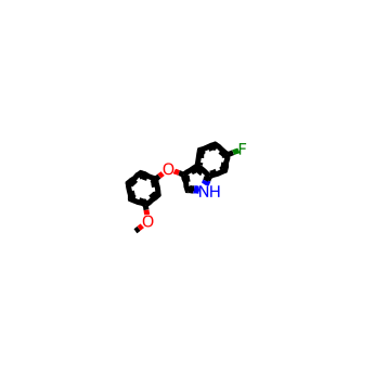 COc1cccc(Oc2c[nH]c3cc(F)ccc23)c1